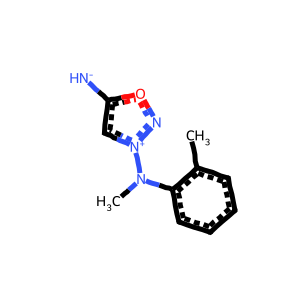 Cc1ccccc1N(C)[n+]1cc([NH-])on1